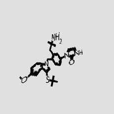 COc1ccc2c(c1)c(SC(C)(C)C)cn2Cc1ccc(-n2cc[nH]c2=O)cc1CC(C)(C)N